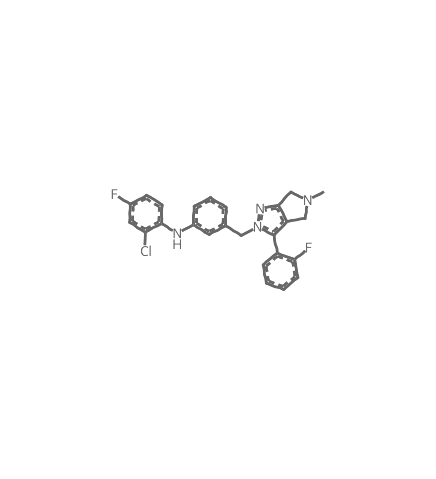 CN1Cc2nn(Cc3cccc(Nc4ccc(F)cc4Cl)c3)c(-c3ccccc3F)c2C1